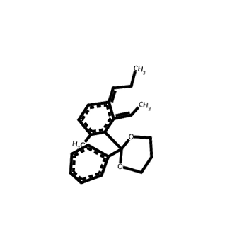 C/C=c1/c(C2(c3ccccc3)OCCCO2)c(C)cc/c1=C/CC